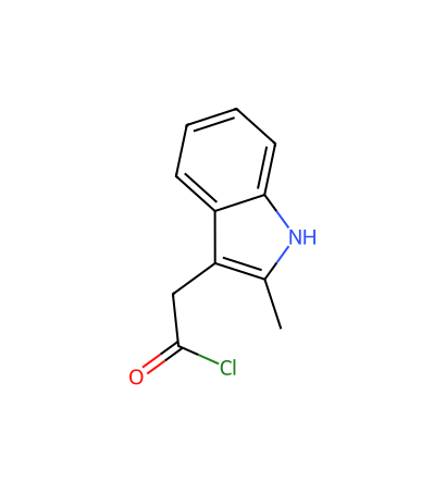 Cc1[nH]c2ccccc2c1CC(=O)Cl